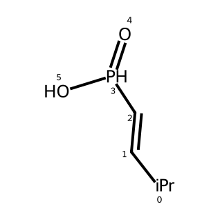 CC(C)C=C[PH](=O)O